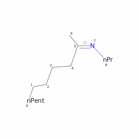 CCCCCCCCC/C(C)=N\CCC